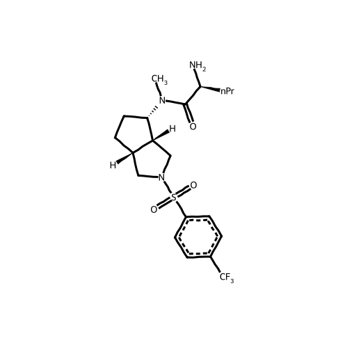 CCC[C@H](N)C(=O)N(C)[C@H]1CC[C@H]2CN(S(=O)(=O)c3ccc(C(F)(F)F)cc3)C[C@H]21